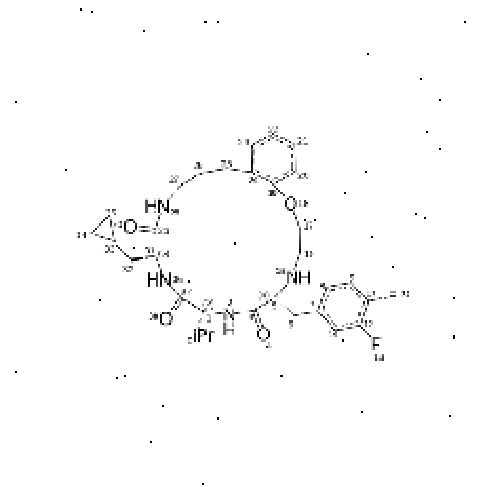 CC(C)[C@H]1NC(=O)[C@@H](Cc2ccc(F)c(F)c2)NCCOc2ccccc2CCCNC(=O)[C@H](CC2CC2)NC1=O